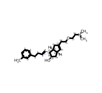 Cc1cccc(CC/C=C/[C@@H]2[C@H]3CC(CCOCCN(C)C)=C[C@H]3C[C@H]2O)c1